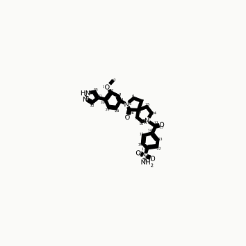 COc1cc(N2CCC3(CCN(C(=O)c4ccc(S(N)(=O)=O)cc4)CC3)C2=O)ccc1-c1cn[nH]c1